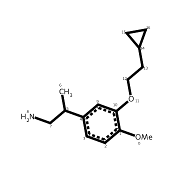 COc1ccc(C(C)CN)cc1OCCC1CC1